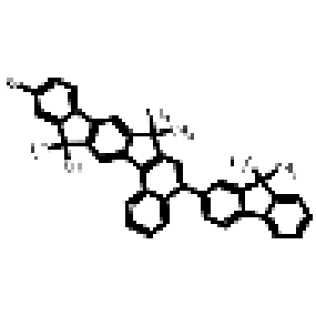 CC1(C)c2ccccc2-c2ccc(-c3cc4c(c5ccccc35)-c3cc5c(cc3C4(C)C)-c3ccc(Br)cc3C5(C)C)cc21